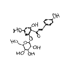 O=C(/C=C/c1ccc(O)cc1)c1c(O)cc(O)cc1O[C@@H]1O[C@H](CO)[C@H](O)[C@H](O)[C@H]1O